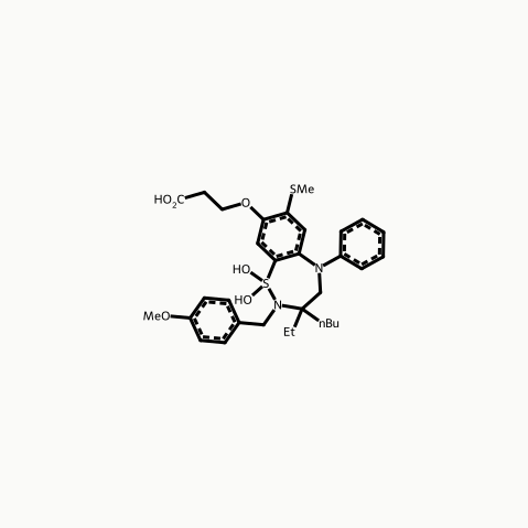 CCCCC1(CC)CN(c2ccccc2)c2cc(SC)c(OCCC(=O)O)cc2S(O)(O)N1Cc1ccc(OC)cc1